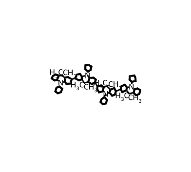 CC1(C)c2ccccc2N(c2ccccc2)c2ccc(-c3ccc4c(c3)C(C)(C)c3cc(-c5ccc6c(c5)C(C)(C)c5cc(-c7ccc8c(c7)C(C)(C)c7ccccc7N8c7ccccc7)ccc5N6c5ccccc5)ccc3N4c3ccccc3)cc21